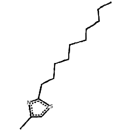 CCCCCCCCCCc1nc(C)cs1